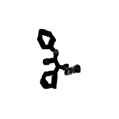 O=COC(C(=O)Oc1ccccc1)c1ccccc1